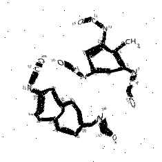 Cc1c(N=C=O)cc(N=C=O)cc1N=C=O.O=C=Nc1ccc2ccc(N=C=O)cc2c1